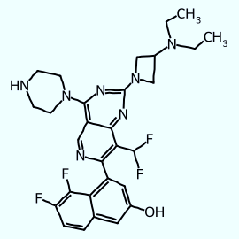 CCN(CC)C1CN(c2nc(N3CCNCC3)c3cnc(-c4cc(O)cc5ccc(F)c(F)c45)c(C(F)F)c3n2)C1